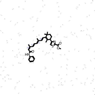 COC(=O)c1nc(C2CCC(C)(C)C(/C=C/C(C)=C/C=C/C(C)=C\C(=O)Nc3ccccc3)=C2C)cs1